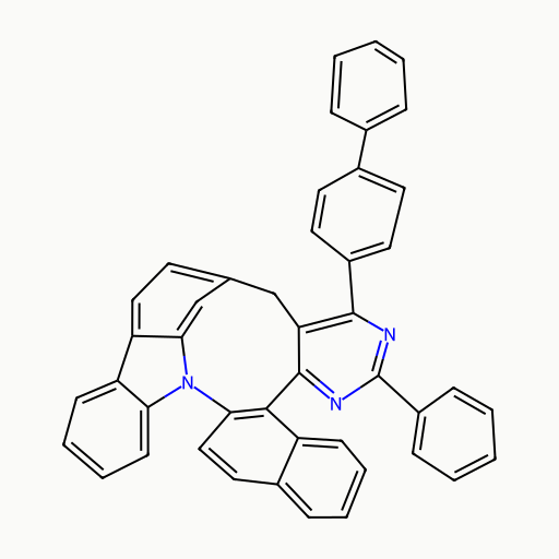 c1ccc(-c2ccc(-c3nc(-c4ccccc4)nc4c3Cc3ccc5c6ccccc6n(c5c3)-c3ccc5ccccc5c3-4)cc2)cc1